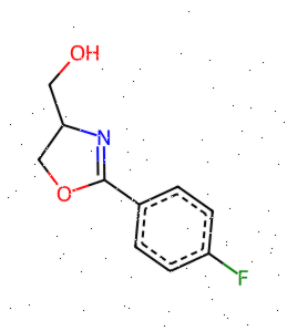 OCC1COC(c2ccc(F)cc2)=N1